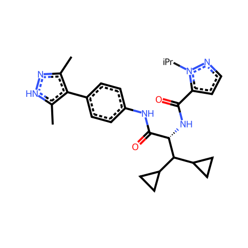 Cc1n[nH]c(C)c1-c1ccc(NC(=O)[C@H](NC(=O)c2ccnn2C(C)C)C(C2CC2)C2CC2)cc1